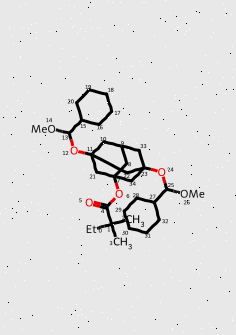 CCC(C)(C)C(=O)OC12CC3CC(OC(OC)C4CCCCC4)(C1)CC(OC(OC)C1CCCCC1)(C3)C2